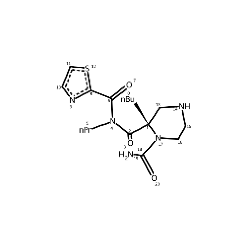 CCCC[C@@]1(C(=O)N(CCC)C(=O)c2nccs2)CNCCN1C(N)=O